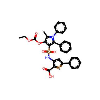 CCOC(=O)Oc1c(S(=O)(=O)Nc2cc(-c3ccccc3)sc2C(=O)O)c(-c2ccccc2)n(-c2ccccc2)c1C